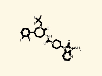 Nn1c(=O)n(C2CCN(C(=O)N[C@@H]3CCC(c4cccc(F)c4F)CN(CC(F)(F)F)C3=O)CC2)c2cccnc21